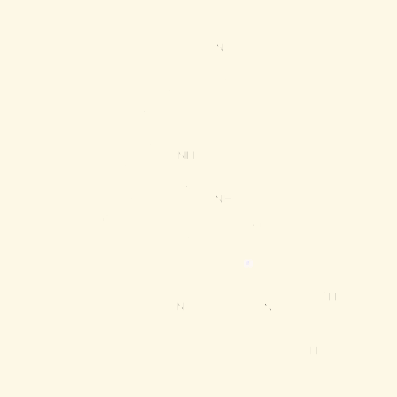 COc1cc(-c2cc(F)cc(C(C)C)c2NC(=O)NS(=O)(=O)/C(C#N)=C/NC(C)C)ccn1